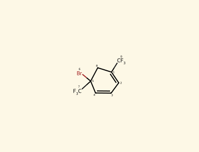 FC(F)(F)C1=CC=CC(Br)(C(F)(F)F)C1